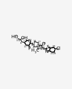 C[C@H]1CN(c2ncc(C[C@H](O)CO)cc2F)CCN1C(=O)Nc1nc2ccc(Cl)cc2s1